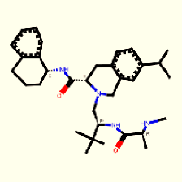 CN[C@@H](C)C(=O)N[C@H](CN1Cc2cc(C(C)C)ccc2C[C@H]1C(=O)N[C@@H]1CCCc2ccccc21)C(C)(C)C